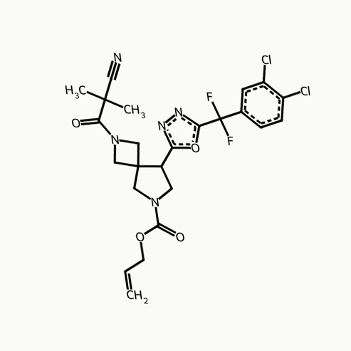 C=CCOC(=O)N1CC(c2nnc(C(F)(F)c3ccc(Cl)c(Cl)c3)o2)C2(C1)CN(C(=O)C(C)(C)C#N)C2